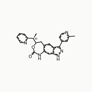 Cc1cc(-c2n[nH]c3cc4c(cc23)CC([C@H](C)c2ccccn2)OC(=O)N4)ccn1